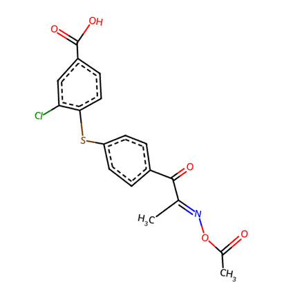 CC(=O)O/N=C(\C)C(=O)c1ccc(Sc2ccc(C(=O)O)cc2Cl)cc1